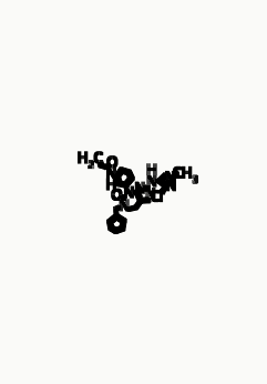 C=CC(=O)Nc1cccc(N2C(=O)N(Cc3ccccc3)CCc3cnc(Nc4cn(C)nc4Cl)nc32)c1